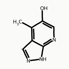 Cc1c(O)cnc2[nH]n[c]c12